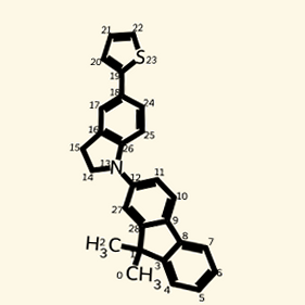 CC1(C)c2ccccc2-c2ccc(N3CCc4cc(-c5cccs5)ccc43)cc21